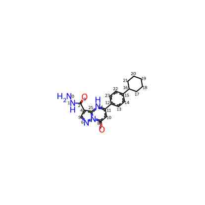 NNC(=O)c1cnn2c(=O)cc(-c3ccc(C4CCCCC4)cc3)[nH]c12